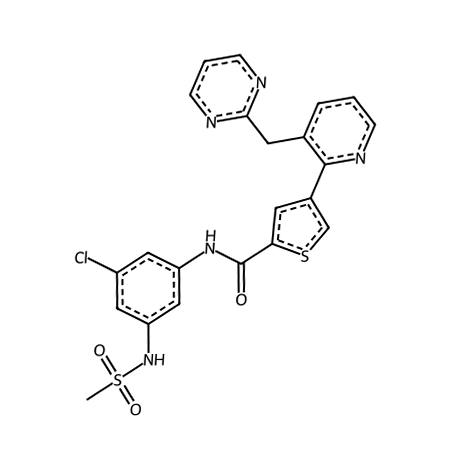 CS(=O)(=O)Nc1cc(Cl)cc(NC(=O)c2cc(-c3ncccc3Cc3ncccn3)cs2)c1